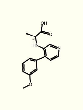 COc1cccc(-c2ccncc2N[C@@H](C)C(=O)O)c1